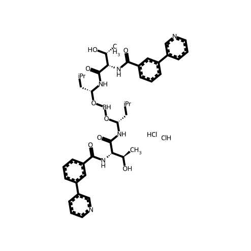 CC(C)C[C@H](NC(=O)[C@@H](NC(=O)c1cccc(-c2cccnc2)c1)[C@@H](C)O)OBO[C@H](CC(C)C)NC(=O)[C@@H](NC(=O)c1cccc(-c2cccnc2)c1)[C@@H](C)O.Cl.Cl